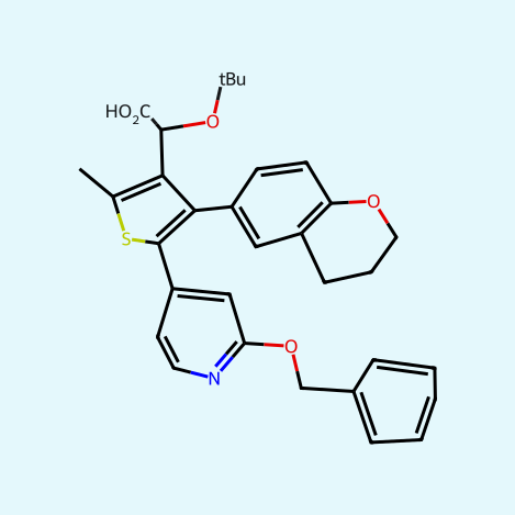 Cc1sc(-c2ccnc(OCc3ccccc3)c2)c(-c2ccc3c(c2)CCCO3)c1C(OC(C)(C)C)C(=O)O